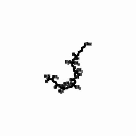 CCCCCCCCCCCCCCCC(=O)NCC(C)(C)COCC(C)(S)CNC(=O)CC(C)(C)COCC(C)(C)CNC(=O)CC[C@H](N)C(N)=O